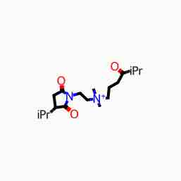 CC(C)C(=O)CCC[N+](C)(C)CCN1C(=O)CC(C(C)C)C1=O